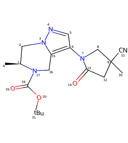 C[C@H]1Cn2ncc(N3CC(C)(C#N)CC3=O)c2CN1C(=O)OC(C)(C)C